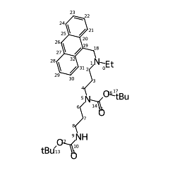 CCN(CCCN(CCCNC(=O)OC(C)(C)C)C(=O)OC(C)(C)C)Cc1c2ccccc2cc2ccccc12